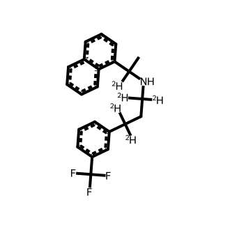 [2H]C([2H])(CC([2H])([2H])c1cccc(C(F)(F)F)c1)NC([2H])(C)c1cccc2ccccc12